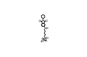 CC(C)S(=O)(=O)NCCCCCNc1ccc2c(c1)C(=O)N(C1CCCCC1)C2=O